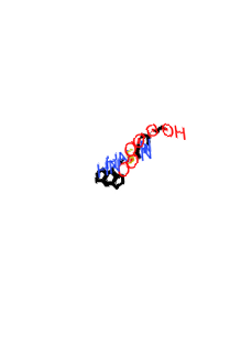 O=C(Nc1c2c(cc3c1CCC3)CCC2)NS(=O)(=O)c1cnn2c1OC[C@H](OCCO)C2